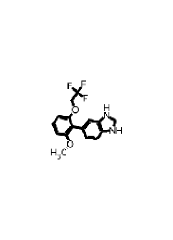 COc1cccc(OCC(F)(F)F)c1-c1ccc2c(c1)NCN2